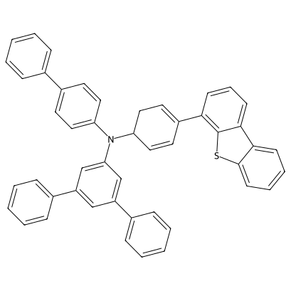 C1=CC(N(c2ccc(-c3ccccc3)cc2)c2cc(-c3ccccc3)cc(-c3ccccc3)c2)CC=C1c1cccc2c1sc1ccccc12